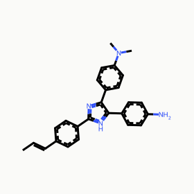 C/C=C/c1ccc(-c2nc(-c3ccc(N(C)C)cc3)c(-c3ccc(N)cc3)[nH]2)cc1